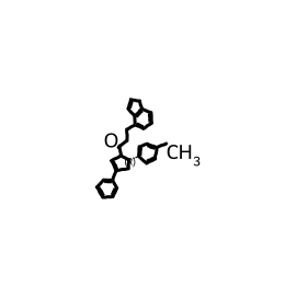 CCc1ccc([C@@H]2CC(c3ccccc3)=CC2C(=O)CCc2cccc3c2C=CC3)cc1